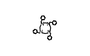 c1ccc(CN2CCCN(Cc3ccccc3)CCCN(Cc3ccccc3)CCN(Cc3ccccc3)CCC2)cc1